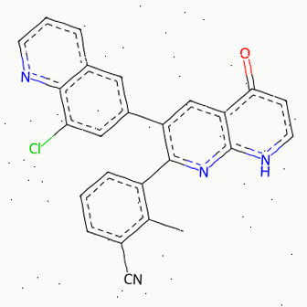 Cc1c(C#N)cccc1-c1nc2[nH]ccc(=O)c2cc1-c1cc(Cl)c2ncccc2c1